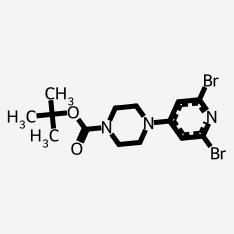 CC(C)(C)OC(=O)N1CCN(c2cc(Br)nc(Br)c2)CC1